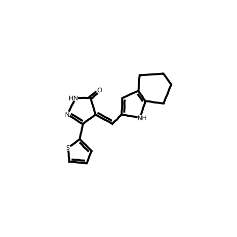 O=C1NN=C(c2cccs2)C1=Cc1cc2c([nH]1)CCCC2